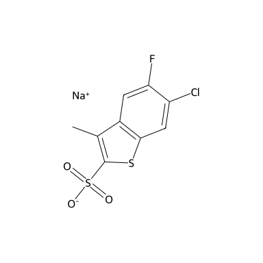 Cc1c(S(=O)(=O)[O-])sc2cc(Cl)c(F)cc12.[Na+]